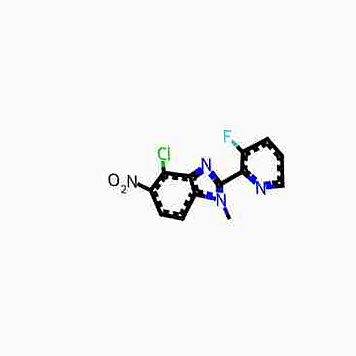 Cn1c(-c2ncccc2F)nc2c(Cl)c([N+](=O)[O-])ccc21